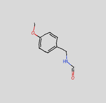 COc1ccc(CN[C]=O)cc1